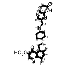 Cn1cc(C(=O)O)c(=O)c2c(CC[C@H]3CC[C@H](NCc4cnc5c(n4)NC(=O)CS5)CC3)c(F)cc(F)c21